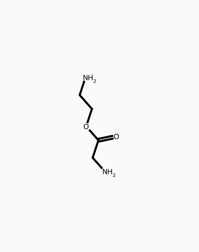 NCCOC(=O)CN